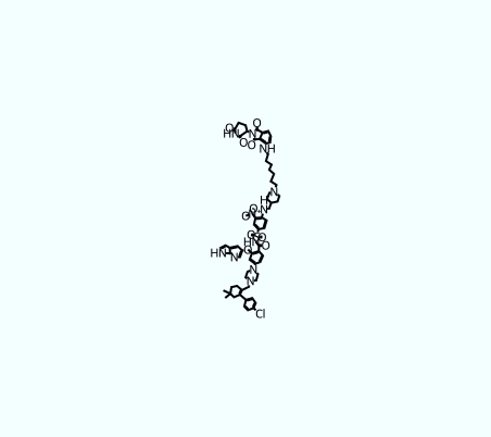 CC1(C)CCC(CN2CCN(c3ccc(C(=O)NS(=O)(=O)c4ccc(NCC5CCN(CCCCCCCNc6cccc7c6C(=O)N(C6CCC(=O)NC6=O)C7=O)CC5)c([N+](=O)[O-])c4)c(Oc4cnc5[nH]ccc5c4)c3)CC2)=C(c2ccc(Cl)cc2)C1